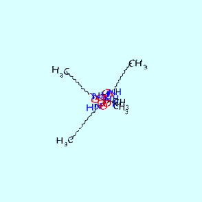 CCCCCCCCCCCCCCCCCCNC(=O)OCC(COC(=O)NCCCCCCCCCCCCCCCCCC)(COC(=O)NCCCCCCCCCCCCCCCCCC)NC(=O)CCN(C)C